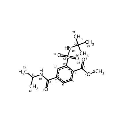 COC(=O)c1ccc(C(=O)NC(C)C)cc1S(=O)(=O)NC(C)(C)C